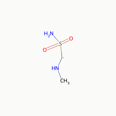 CN[CH]S(N)(=O)=O